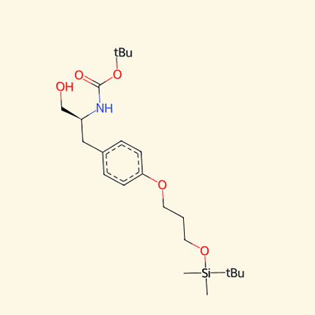 CC(C)(C)OC(=O)N[C@H](CO)Cc1ccc(OCCCO[Si](C)(C)C(C)(C)C)cc1